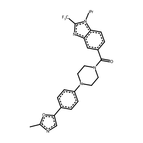 Cc1ncc(-c2ccc(N3CCN(C(=O)c4ccc5c(c4)nc(C(F)(F)F)n5C(C)C)CC3)cc2)o1